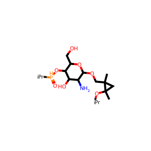 CC(C)OC1(C)CC1(C)COC1OC(CO)C(O[PH](=O)C(C)C)C(O)C1N